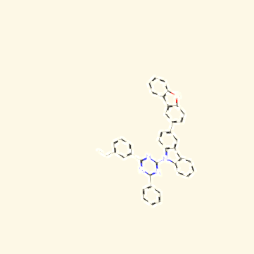 CCc1cccc(-c2nc(-c3ccccc3)nc(-n3c4ccccc4c4cc(-c5ccc6oc7ccccc7c6c5)ccc43)n2)c1